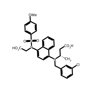 COc1ccc(S(=O)(=O)N(CC(=O)O)c2ccc(N(Cc3cccc(Cl)c3)[C@@H](C)CC(=O)O)c3ccccc23)cc1